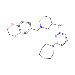 c1cc(N2CCCCCC2)nc(NC2CCCN(Cc3ccc4c(c3)OCCO4)C2)n1